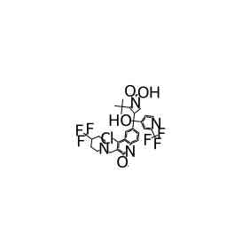 COc1nc2ccc(C(O)(c3ccnc(C(F)(F)F)c3)C3CN(C(=O)O)C3C(C)(C)C)cc2c(Cl)c1CN1CCC(C(F)(F)F)CC1